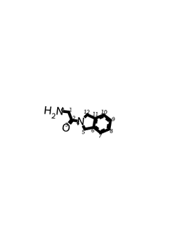 NCC(=O)N1Cc2ccccc2C1